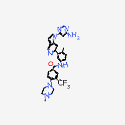 Cc1ccc(NC(=O)c2ccc(N3CCN(C)CC3)c(C(F)(F)F)c2)cc1-c1cc2c(ccn2-c2cc(N)ncn2)cn1